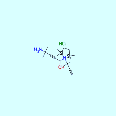 C#CC(C)(C)[N+]1(C(O)C#CC(C)(C)N)[Si](C)(C)CC[Si]1(C)C.Cl